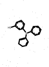 Sc1cccc(N(C2=CCCC=C2)c2ccccc2)c1